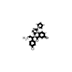 C=CC(c1ccc(Cl)cc1)n1c(=O)c2cc(Br)ccc2n2c(N3CCCC3)nnc12